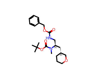 CN(C(=O)OC(C)(C)C)[C@@H](CNC(=O)OCc1ccccc1)C[C@H]1CCCOC1